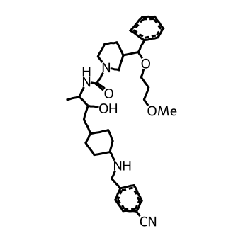 COCCCOC(c1ccccc1)C1CCCN(C(=O)NC(C)C(O)CC2CCC(NCc3ccc(C#N)cc3)CC2)C1